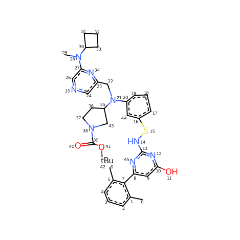 Cc1cccc(C)c1-c1cc(O)nc(NSc2cccc(N(Cc3cncc(N(C)C4CCC4)n3)C3CCN(C(=O)OC(C)(C)C)C3)c2)n1